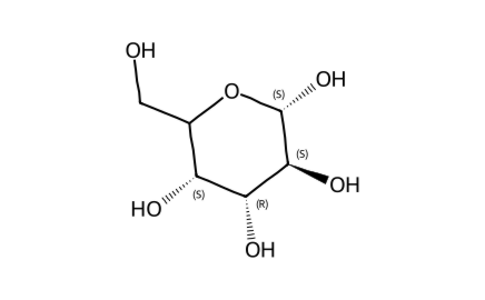 OCC1O[C@H](O)[C@@H](O)[C@H](O)[C@@H]1O